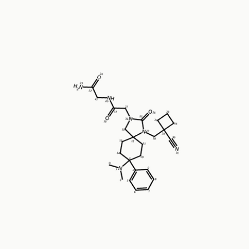 CN(C)C1(c2ccccc2)CCC2(CC1)CN(CC(=O)NCC(N)=O)C(=O)N2CC1(C#N)CCC1